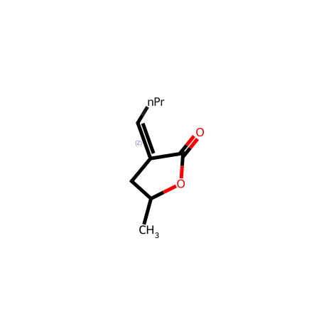 CCC/C=C1/CC(C)OC1=O